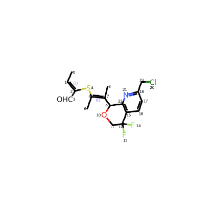 C/C=C(/C=O)S/C(C)=C(\C)C1OCC(F)(F)c2ccc(CCl)nc21